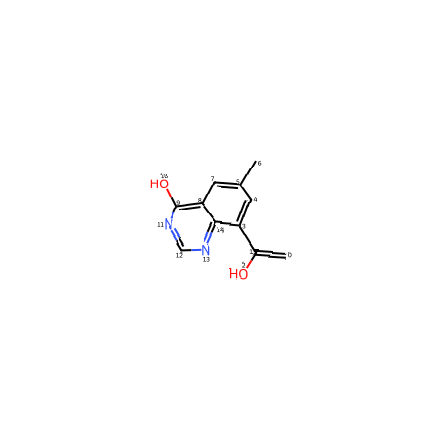 C=C(O)c1cc(C)cc2c(O)ncnc12